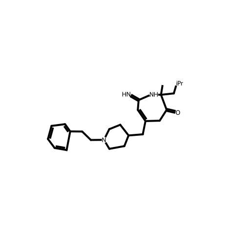 CC(C)CC1(C)NC(=N)C=C(CC2CCN(CCc3ccccc3)CC2)CC1=O